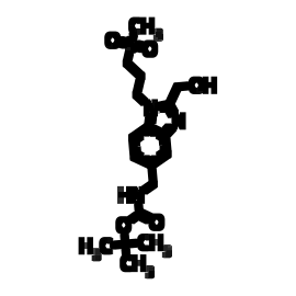 CC(C)(C)OC(=O)NCc1ccc2c(c1)nc(CO)n2CCCS(C)(=O)=O